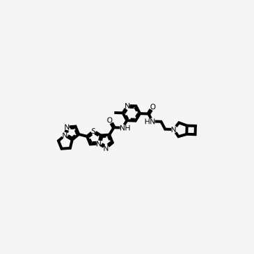 Cc1ncc(C(=O)NCCN2CC3CCC3C2)cc1NC(=O)c1cnn2cc(-c3cnn4c3CCC4)sc12